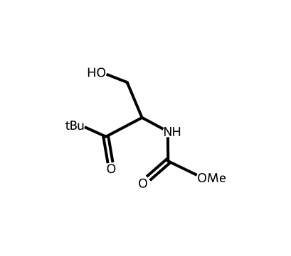 COC(=O)NC(CO)C(=O)C(C)(C)C